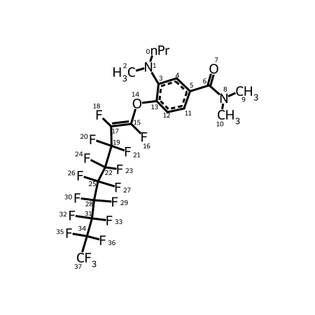 CCCN(C)c1cc(C(=O)N(C)C)ccc1OC(F)=C(F)C(F)(F)C(F)(F)C(F)(F)C(F)(F)C(F)(F)C(F)(F)C(F)(F)F